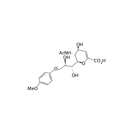 COc1ccc(OC[C@@H](O)[C@@H](O)[C@@H]2OC(C(=O)O)=C[C@H](O)[C@H]2NC(C)=O)cc1